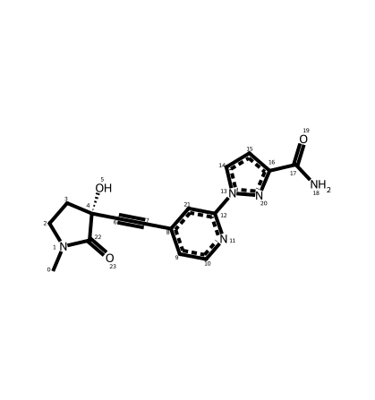 CN1CC[C@@](O)(C#Cc2ccnc(-n3ccc(C(N)=O)n3)c2)C1=O